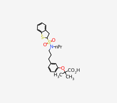 CCCN(CCCc1cccc(OC(C)(C)C(=O)O)c1)S(=O)(=O)C1Cc2ccccc2S1